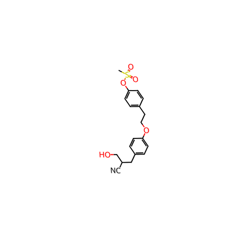 CS(=O)(=O)Oc1ccc(CCOc2ccc(CC(C#N)CO)cc2)cc1